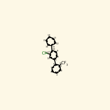 FC(F)(F)c1c[c]ccc1-c1ccc(-c2ccccc2)c(Cl)c1